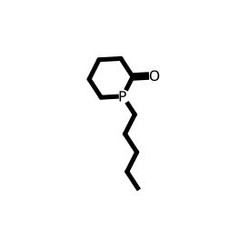 CCCCCP1CCCCC1=O